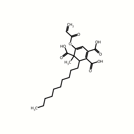 C=CC(=O)OC1=CC(C(=O)O)=C(C(=O)O)C(CCCCCCCCCC)C1(C)C(=O)O